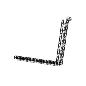 O.O.O.O.O.O.O.O.O.O.O.O.O.O.O.O.O.O.O.O.O.O.O.O.O.O.O.O.O.O.O.O.O.O.O.O.O.O.O.O.O.O.O.O.O.O.O.O.O.O.O.O.O.O.O.O.O.O.O.O.[Co].[Co].[Co].[Co].[Co]